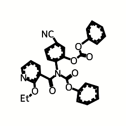 CCOc1ncccc1C(=O)N(C(=O)Oc1ccccc1)c1ccc(C#N)cc1OC(=O)Oc1ccccc1